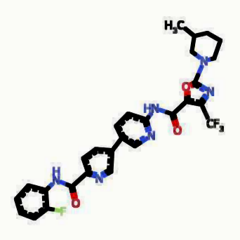 CC1CCCN(c2nc(C(F)(F)F)c(C(=O)Nc3ccc(-c4ccc(C(=O)Nc5ccccc5F)nc4)cn3)o2)C1